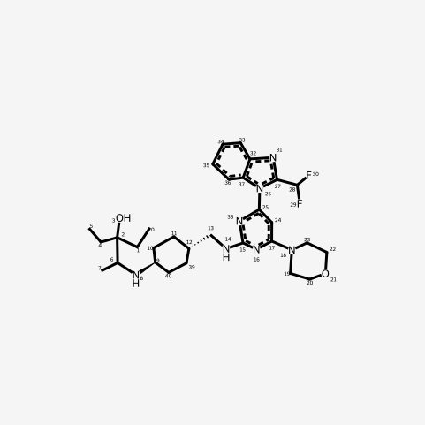 CCC(O)(CC)C(C)N[C@H]1CC[C@H](CNc2nc(N3CCOCC3)cc(-n3c(C(F)F)nc4ccccc43)n2)CC1